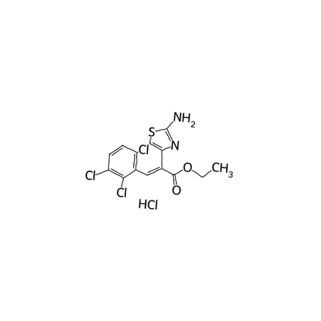 CCOC(=O)C(=Cc1c(Cl)ccc(Cl)c1Cl)c1csc(N)n1.Cl